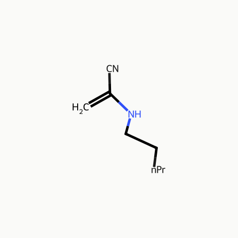 C=C(C#N)NCCCCC